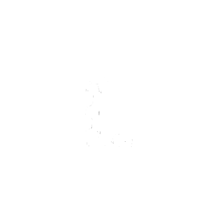 CC(CN1CCC2(CC2)C1)NC(=O)c1ccc(-c2noc(C(F)(F)F)n2)cc1